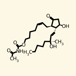 CCCCC[C@](C)(O)/C=C/[C@H]1[C@H](O)CC(=O)[C@@H]1C/C=C\CCCCOC(=O)NC(C)=O